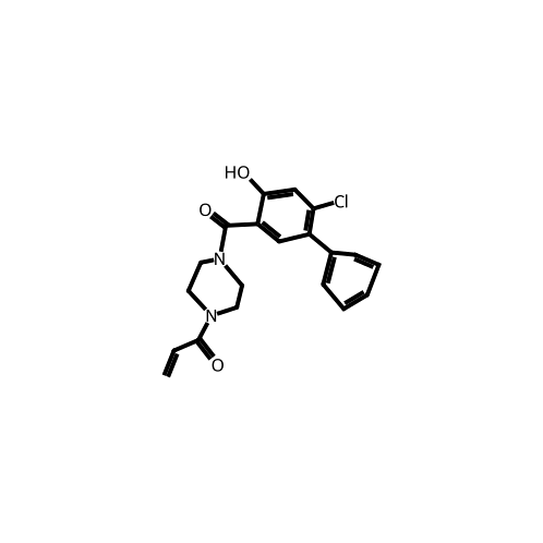 C=CC(=O)N1CCN(C(=O)c2cc(-c3ccccc3)c(Cl)cc2O)CC1